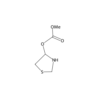 COC(=O)OC1CSCN1